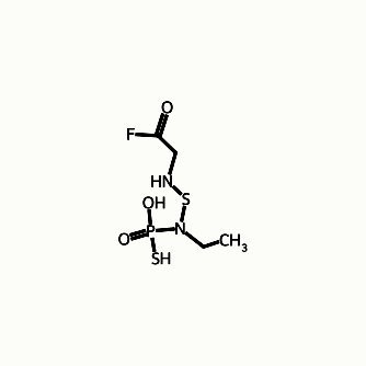 CCN(SNCC(=O)F)P(=O)(O)S